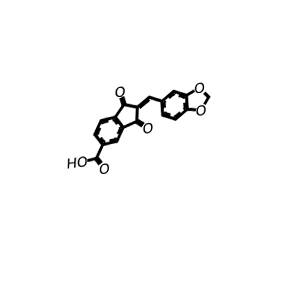 O=C(O)c1ccc2c(c1)C(=O)C(=Cc1ccc3c(c1)OCO3)C2=O